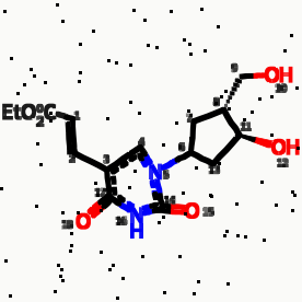 CCOC(=O)/C=C/c1cn(C2C[C@H](CO)[C@@H](O)C2)c(=O)[nH]c1=O